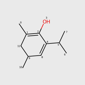 CC1=C(O)C(C(C)C)=CC(C)C1